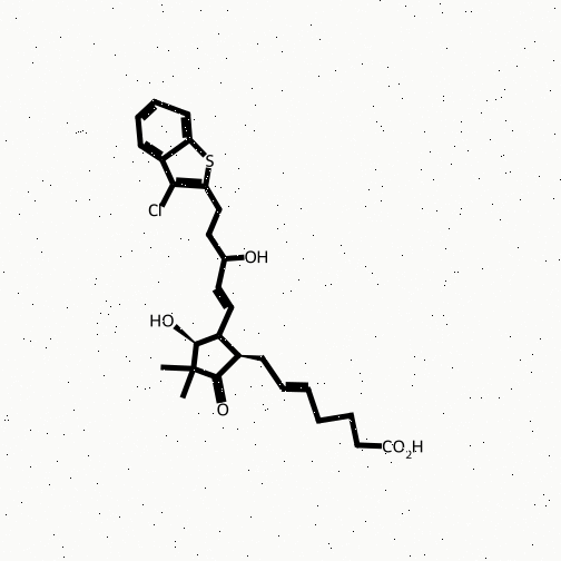 CC1(C)C(=O)[C@H](CC=CCCCC(=O)O)C(C=CC(O)CCc2sc3ccccc3c2Cl)[C@@H]1O